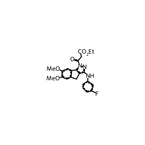 CCOC(=O)CC(=O)n1nc(Nc2cccc(F)c2)c2c1-c1cc(OC)c(OC)cc1C2